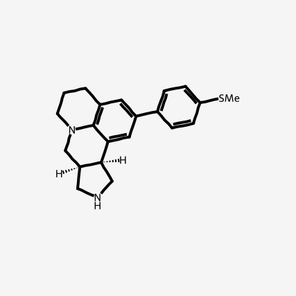 CSc1ccc(-c2cc3c4c(c2)[C@H]2CNC[C@H]2CN4CCC3)cc1